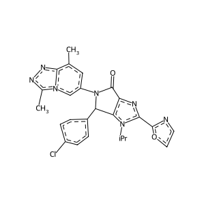 Cc1cc(N2C(=O)c3nc(-c4ncco4)n(C(C)C)c3C2c2ccc(Cl)cc2)cn2c(C)nnc12